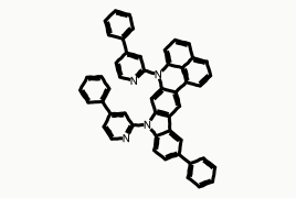 c1ccc(-c2ccnc(N3c4cc5c(cc4-c4cccc6cccc3c46)c3cc(-c4ccccc4)ccc3n5-c3cc(-c4ccccc4)ccn3)c2)cc1